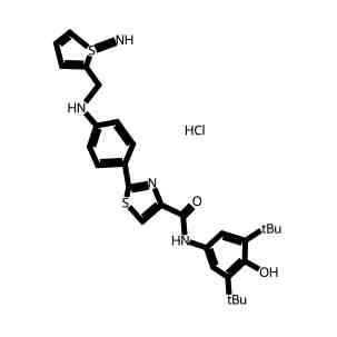 CC(C)(C)c1cc(NC(=O)c2csc(-c3ccc(NCC4=CC=CS4=N)cc3)n2)cc(C(C)(C)C)c1O.Cl